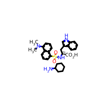 CN(C)c1cccc2c(S(=O)(=O)N[C@@H](Cc3c[nH]c4ccccc34)C(=O)O)cccc12.NC1CCCCC1